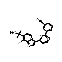 CC(C)(O)c1ccn2c(-c3ccnc(-c4cccc(C#N)c4)n3)cnc2c1F